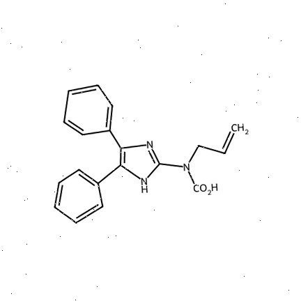 C=CCN(C(=O)O)c1nc(-c2ccccc2)c(-c2ccccc2)[nH]1